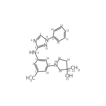 Cc1cc(Nc2ncn(-c3ccccc3)n2)cc(N2CCC(C)(O)C2)c1